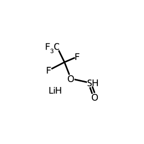 O=[SH]OC(F)(F)C(F)(F)F.[LiH]